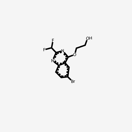 OCCOc1nc(C(F)F)nc2ccc(Br)cc12